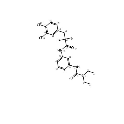 CCN(CC)C(=O)Nc1cccc(NC(=O)C(C)(C)Cc2ccc(Cl)c(Cl)c2)c1